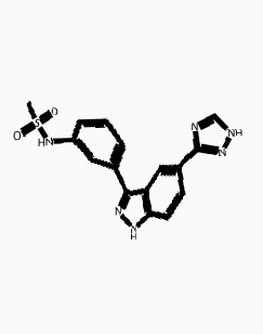 CS(=O)(=O)Nc1cccc(-c2n[nH]c3ccc(-c4nc[nH]n4)cc23)c1